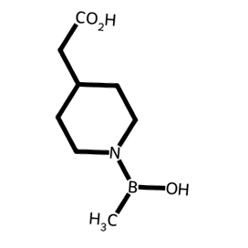 CB(O)N1CCC(CC(=O)O)CC1